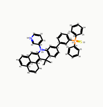 CC1(C)c2ccc(-c3cccc(P(=S)(c4ccccc4)c4ccccc4)c3)cc2N(c2cccnc2)c2cc3cccc4c3c(c21)CC=C4